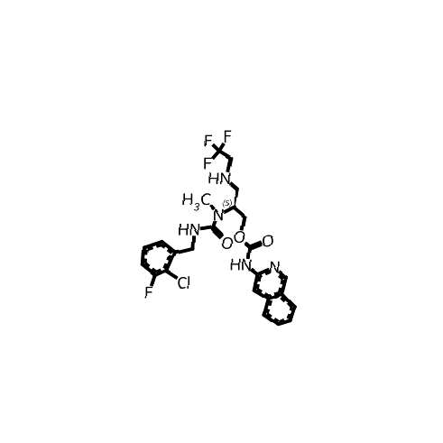 CN(C(=O)NCc1cccc(F)c1Cl)[C@@H](CNCC(F)(F)F)COC(=O)Nc1cc2ccccc2cn1